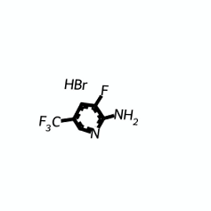 Br.Nc1ncc(C(F)(F)F)cc1F